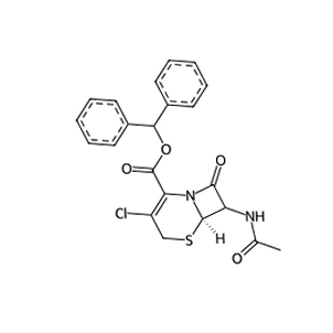 CC(=O)NC1C(=O)N2C(C(=O)OC(c3ccccc3)c3ccccc3)=C(Cl)CS[C@H]12